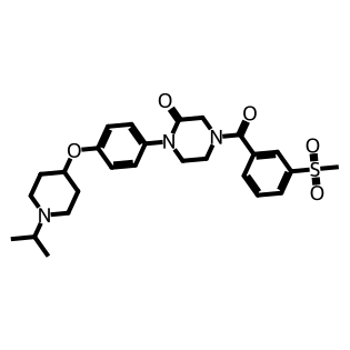 CC(C)N1CCC(Oc2ccc(N3CCN(C(=O)c4cccc(S(C)(=O)=O)c4)CC3=O)cc2)CC1